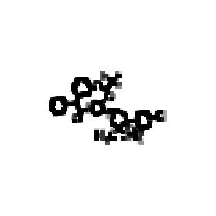 CC1(C)CN([C@H]2CN(C(=O)C(c3ccccc3)c3ccccc3)C[C@@H]2OC(=O)C(F)(F)F)CC[C@]1(O)c1ccc(Cl)cc1